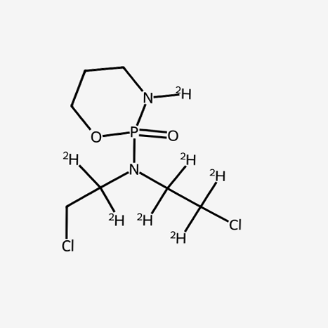 [2H]N1CCCOP1(=O)N(C([2H])([2H])CCl)C([2H])([2H])C([2H])([2H])Cl